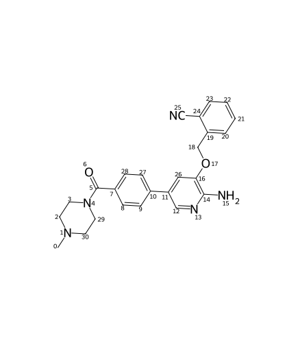 CN1CCN(C(=O)c2ccc(-c3cnc(N)c(OCc4ccccc4C#N)c3)cc2)CC1